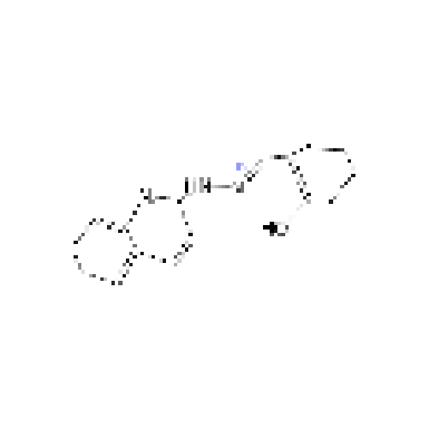 OC1=C(/C=N/Nc2ccc3c(n2)=CCCC=3)C=CCC1